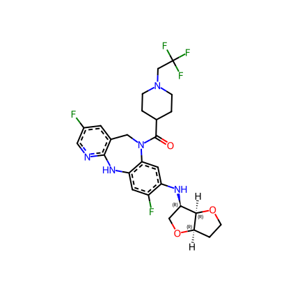 O=C(C1CCN(CC(F)(F)F)CC1)N1Cc2cc(F)cnc2Nc2cc(F)c(N[C@@H]3CO[C@@H]4CCO[C@H]34)cc21